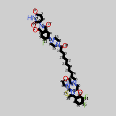 O=C1CCC(N2C(=O)c3cc(F)c(N4CCN(C(=O)CCCCCCCCCCNCCOc5c(-c6csc(N7CCOCC7)n6)ccc(F)c5F)CC4)cc3C2=O)C(=O)N1